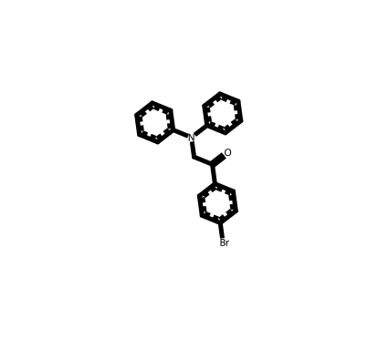 O=C(CN(c1ccccc1)c1ccccc1)c1ccc(Br)cc1